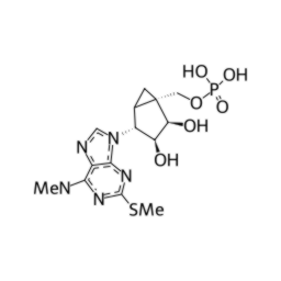 CNc1nc(SC)nc2c1ncn2[C@@H]1C2C[C@@]2(COP(=O)(O)O)[C@@H](O)[C@H]1O